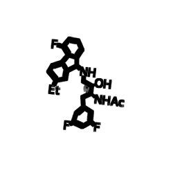 CCc1ccc2c(c1)C(NC[C@H](O)[C@H](Cc1cc(F)cc(F)c1)NC(C)=O)c1cccc(F)c1-2